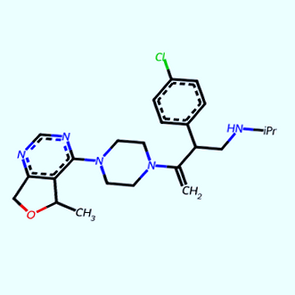 C=C(C(CNC(C)C)c1ccc(Cl)cc1)N1CCN(c2ncnc3c2C(C)OC3)CC1